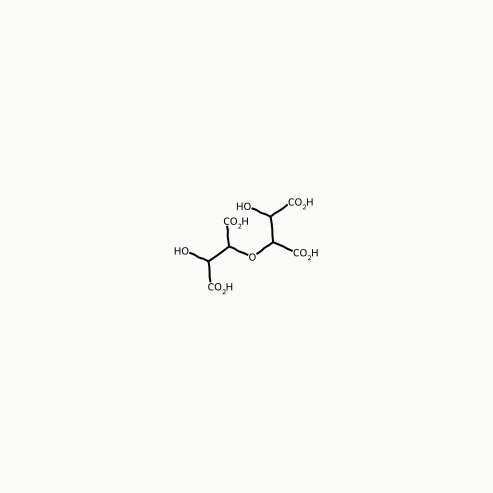 O=C(O)C(O)C(OC(C(=O)O)C(O)C(=O)O)C(=O)O